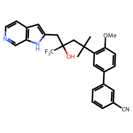 COc1ccc(-c2cccc(C#N)c2)cc1C(C)(C)CC(O)(Cc1cc2ccncc2[nH]1)C(F)(F)F